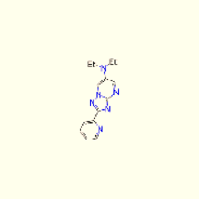 CCN(CC)c1cnc2nc(-c3ccccn3)nn2c1